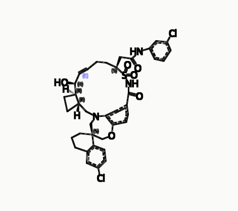 O=C(C[C@@H]1CC/C=C/[C@H](O)[C@@H]2CC[C@H]2CN2C[C@@]3(CCCc4cc(Cl)ccc43)COc3ccc(cc32)C(=O)NS1(=O)=O)Nc1cccc(Cl)c1